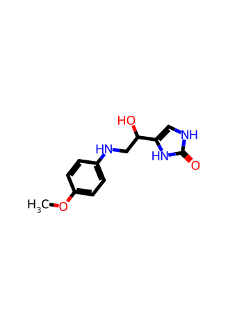 COc1ccc(NCC(O)c2c[nH]c(=O)[nH]2)cc1